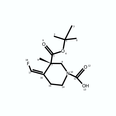 CC(C)(C)OC(=O)[C@]1(C)CN(C(=O)O)CC/C1=C/F